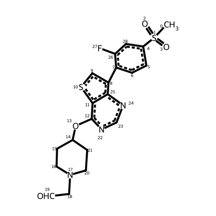 CS(=O)(=O)c1ccc(-c2csc3c(OC4CCN(CC=O)CC4)ncnc23)c(F)c1